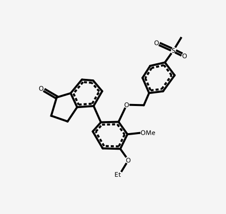 CCOc1ccc(-c2cccc3c2CCC3=O)c(OCc2ccc(S(C)(=O)=O)cc2)c1OC